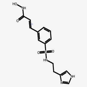 O=C(/C=C/c1cccc(S(=O)(=O)NCCc2c[nH]cn2)c1)NO